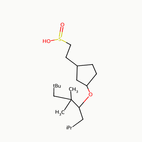 CC(C)CC(OC1CCC(CCS(=O)O)C1)C(C)(C)CC(C)(C)C